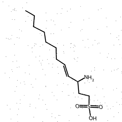 CCCCCCCC=CC(N)CCS(=O)(=O)O